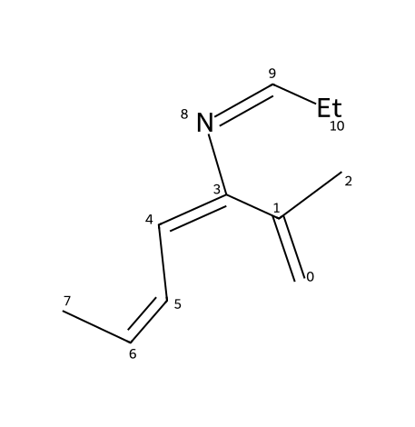 C=C(C)C(=C\C=C/C)/N=C\CC